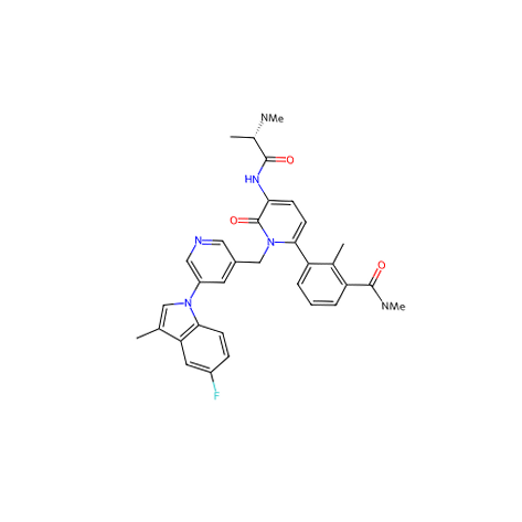 CNC(=O)c1cccc(-c2ccc(NC(=O)[C@H](C)NC)c(=O)n2Cc2cncc(-n3cc(C)c4cc(F)ccc43)c2)c1C